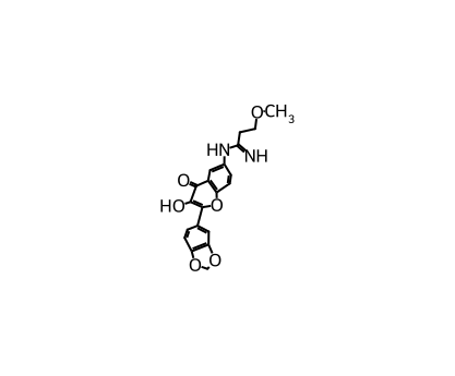 COCCC(=N)Nc1ccc2oc(-c3ccc4c(c3)OCO4)c(O)c(=O)c2c1